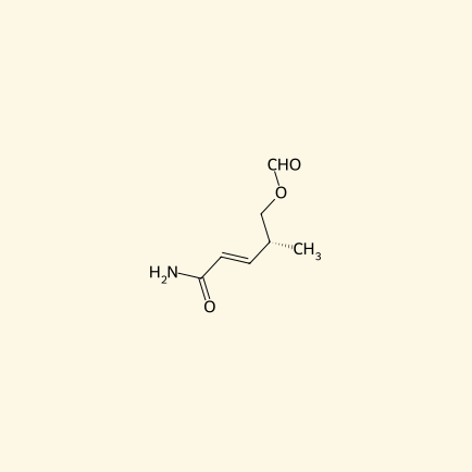 C[C@H](/C=C/C(N)=O)COC=O